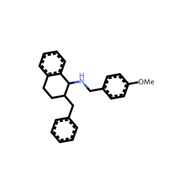 COc1ccc(CNC2c3ccccc3CCC2Cc2ccccc2)cc1